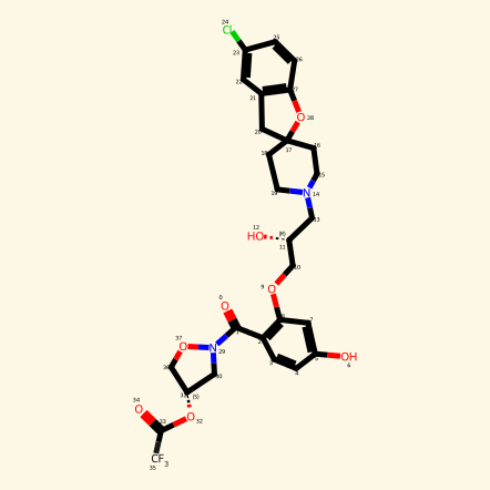 O=C(c1ccc(O)cc1OC[C@H](O)CN1CCC2(CC1)Cc1cc(Cl)ccc1O2)N1C[C@H](OC(=O)C(F)(F)F)CO1